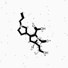 C=CCN1CCC(C2=C(C(=O)O)N3C(=O)[C@H]([C@@H](C)O)[C@H]3C2)C1